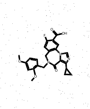 COc1ccc(CN2Cc3cc(F)c(C(=O)O)cc3-n3cnc(C4CC4)c3C2=O)c(OC)c1